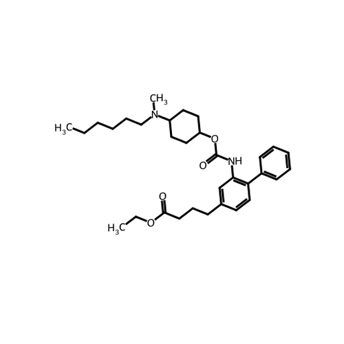 CCCCCCN(C)C1CCC(OC(=O)Nc2cc(CCCC(=O)OCC)ccc2-c2ccccc2)CC1